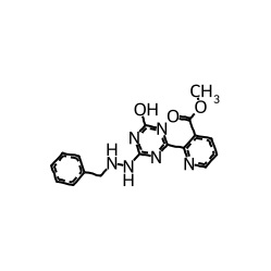 COC(=O)c1cccnc1-c1nc(O)nc(NNCc2ccccc2)n1